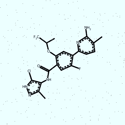 Cc1ccc(-c2cc(OC(C)C(F)(F)F)c(C(=O)Nc3c(C)n[nH]c3Cl)cc2F)nc1N